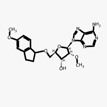 COc1ccc2c(c1)CCC2OC[C@H]1O[C@@H](n2cnc3c(N)ncnc32)[C@H](OC)[C@@H]1O